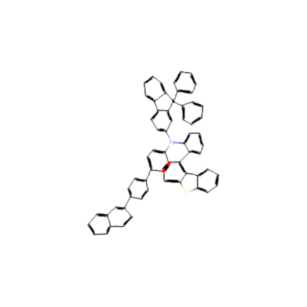 c1ccc(C2(c3ccccc3)c3ccccc3-c3ccc(N(c4ccc(-c5ccc(-c6ccc7ccccc7c6)cc5)cc4)c4ccccc4-c4cccc5sc6ccccc6c45)cc32)cc1